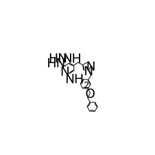 Nc1cc(Cc2cnn(Cc3cccc(OCc4ccccc4)c3)c2)c2c(n1)NNN2